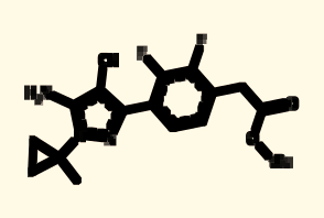 CC(C)(C)OC(=O)Cc1ccc(-c2nn(C3(C)CC3)c(N)c2C#N)c(F)c1F